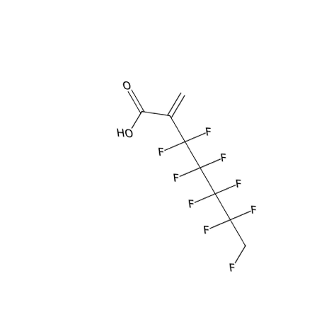 C=C(C(=O)O)C(F)(F)C(F)(F)C(F)(F)C(F)(F)CF